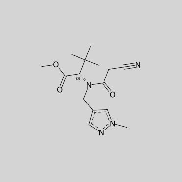 COC(=O)[C@@H](N(Cc1cnn(C)c1)C(=O)CC#N)C(C)(C)C